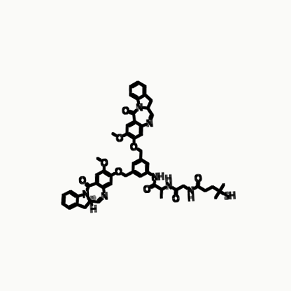 COc1cc2c(cc1OCc1cc(COc3cc4c(cc3OC)C(=O)N3c5ccccc5C[C@H]3C=N4)cc(NC(=O)C(C)NC(=O)CNC(=O)CCC(C)(C)S)c1)N=CC1Cc3ccccc3N1C2=O